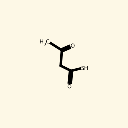 CC(=O)CC(=O)S